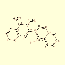 C[C@@H](c1ccccc1)N(C)C(=O)c1ccc2cccnc2c1O